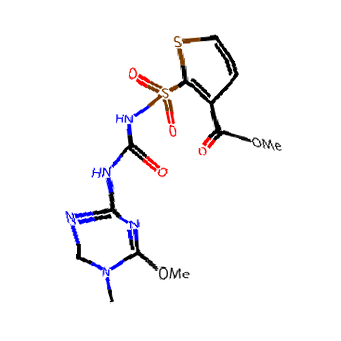 COC(=O)c1ccsc1S(=O)(=O)NC(=O)NC1=NCN(C)C(OC)=N1